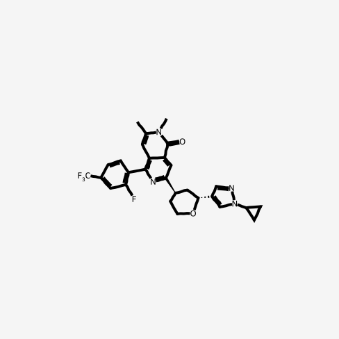 Cc1cc2c(-c3ccc(C(F)(F)F)cc3F)nc([C@@H]3CCO[C@@H](c4cnn(C5CC5)c4)C3)cc2c(=O)n1C